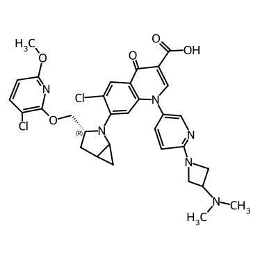 COc1ccc(Cl)c(OC[C@H]2CC3CC3N2c2cc3c(cc2Cl)c(=O)c(C(=O)O)cn3-c2ccc(N3CC(N(C)C)C3)nc2)n1